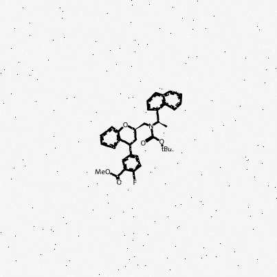 COC(=O)c1cc(C2C[C@H](CN(C(=O)OC(C)(C)C)[C@H](C)c3cccc4ccccc34)Oc3ccccc32)ccc1F